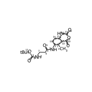 Cc1c(NC(=O)CCNC(=O)OC(C)(C)C)ccc2[nH]c(=O)oc(=O)c12